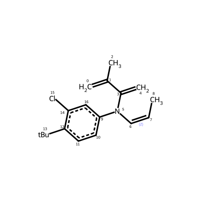 C=C(C)C(=C)N(/C=C\C)c1ccc(C(C)(C)C)c(Cl)c1